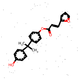 CC(C)(c1ccc(O)cc1)c1ccc(OC(=O)C=Cc2ccco2)cc1